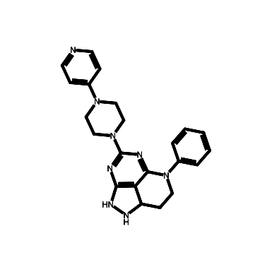 c1ccc(N2CCC3NNc4nc(N5CCN(c6ccncc6)CC5)nc2c43)cc1